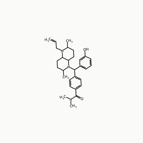 C=CCN1C(C)CCC2C1CCC(C)N2C(c1ccc(C(=O)N(C)C)cc1)c1cccc(O)c1